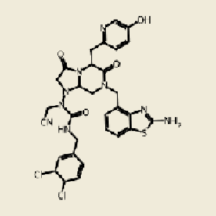 N#CCN(C(=O)NCC1=CC(Cl)C(Cl)C=C1)N1CC(=O)N2C1CN(Cc1cccc3sc(N)nc13)C(=O)[C@@H]2Cc1ccc(O)cn1